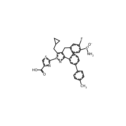 Cc1ccc(-c2cccc(-c3nn(-c4nc(C(=O)O)cs4)c(CC4CC4)c3Cc3ccc([S+](N)[O-])c(F)c3)c2)cc1